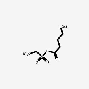 CCCCCCCCCCCC(=O)OS(=O)(=O)CS(=O)(=O)O